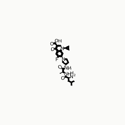 CC(C)C[C@H](N)C(=O)N[C@@H](C)C(=O)N[C@H]1CCN(c2cc3c(cc2F)c(=O)c(C(=O)O)cn3C2CC2)C1